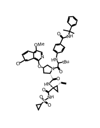 C=C[C@@H]1C[C@]1(NC(=O)[C@@H]1C[C@@H](Oc2ncc(OC)c3ccc(Cl)cc23)CN1C(=O)C(Nc1ccc(C(=O)NC(C)(C)c2ccccc2)cc1)C(C)(C)C)C(=O)NS(=O)(=O)C1CC1